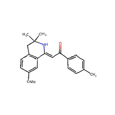 COc1ccc2c(c1)/C(=C/C(=O)c1ccc(C)cc1)NC(C)(C)C2